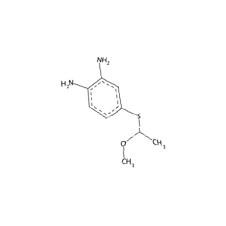 COC(C)Sc1ccc(N)c(N)c1